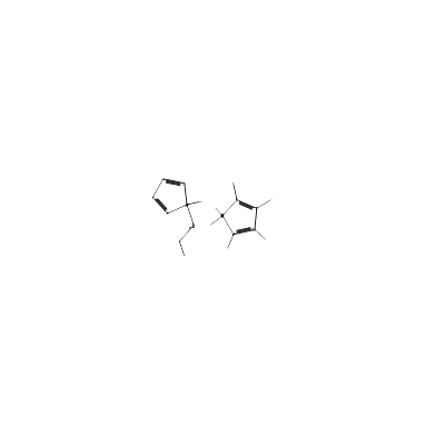 CCC[C]1([Hf][C]2(C)C(C)=C(C)C(C)=C2C)C=CC=C1